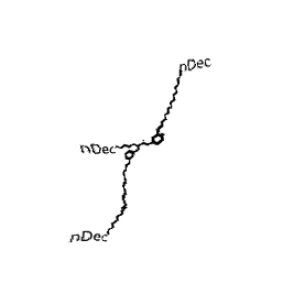 CCCCCCCCCCCCCCCCCCCCCCCCCC=Cc1cccc(C[CH]C(CCCCCCCCCCCCCCC)Cc2cccc(C=CCCCCCCCCCCCCCCCCCCCCCCCCC)c2)c1